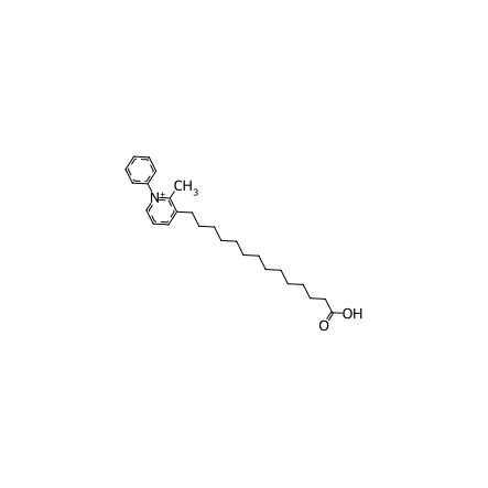 Cc1c(CCCCCCCCCCCCCC(=O)O)ccc[n+]1-c1ccccc1